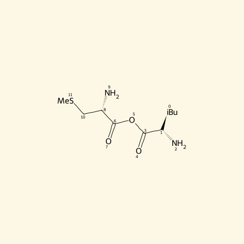 CC[C@H](C)[C@H](N)C(=O)OC(=O)[C@@H](N)CSC